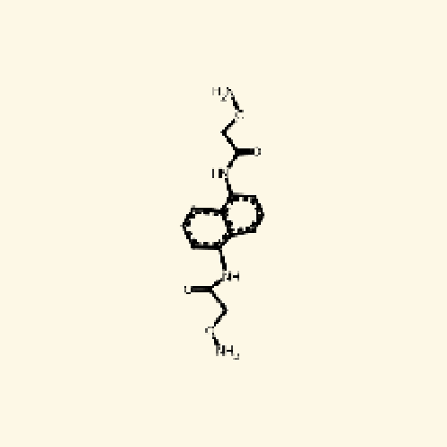 NOCC(=O)Nc1cccc2c(NC(=O)CON)cccc12